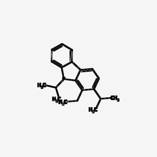 CCc1c(C(C)C)ccc2c3ccccc3p(C(C)C)c12